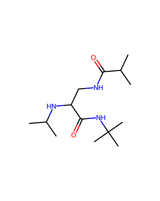 CC(C)NC(CNC(=O)C(C)C)C(=O)NC(C)(C)C